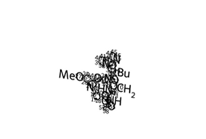 C=C[C@@H]1C[C@]1(NC(=O)[C@@H]1C[C@@H](Oc2cc(-c3ccccc3)nc3c2CCC(OC)C3)CN1C(=O)[C@@H](CC(=O)N1CCCC[C@H]1c1cccnc1)C(C)(C)C)C(=O)NS(=O)(=O)C1CC1